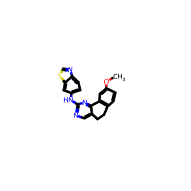 COc1ccc2c(c1)-c1nc(Nc3ccc4ncsc4c3)ncc1CC2